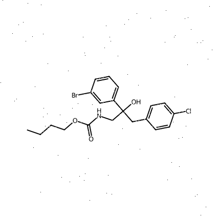 CCCCOC(=O)NCC(O)(Cc1ccc(Cl)cc1)c1cccc(Br)c1